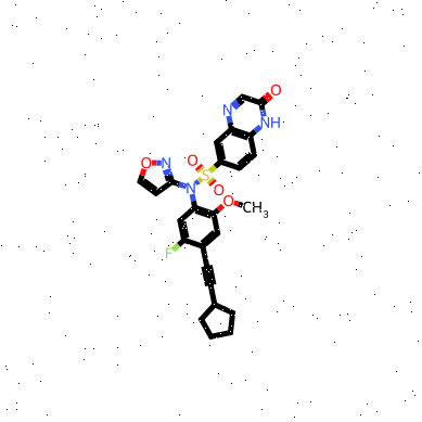 COc1cc(C#CC2CCCC2)c(F)cc1N(c1ccon1)S(=O)(=O)c1ccc2[nH]c(=O)cnc2c1